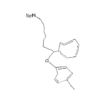 CNCCCCC(Oc1ccc(C)cc1)c1ccccc1